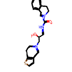 O=C(NCC(O)CN1CCc2sccc2C1)N1CCc2ccccc2C1